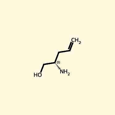 C=CC[C@H](N)CO